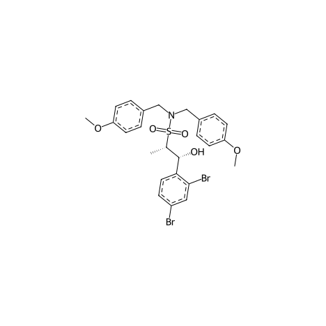 COc1ccc(CN(Cc2ccc(OC)cc2)S(=O)(=O)[C@@H](C)[C@H](O)c2ccc(Br)cc2Br)cc1